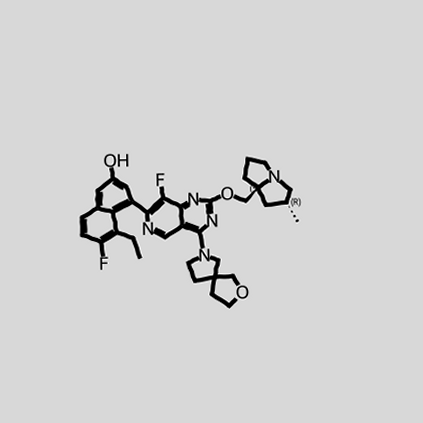 CCc1c(F)ccc2cc(O)cc(-c3ncc4c(N5CCC6(CCOC6)C5)nc(OC[C@@]56CCCN5C[C@H](C)C6)nc4c3F)c12